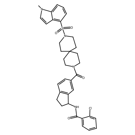 Cn1ccc2c(S(=O)(=O)N3CCC4(CCN(C(=O)c5ccc6c(c5)C(NC(=O)c5ccccc5Cl)CC6)CC4)CC3)cccc21